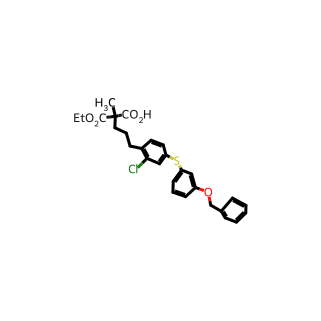 CCOC(=O)C(C)(CCCc1ccc(Sc2cccc(OCc3ccccc3)c2)cc1Cl)C(=O)O